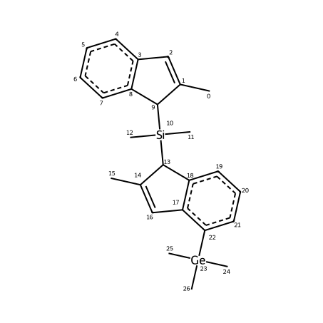 CC1=Cc2ccccc2C1[Si](C)(C)C1C(C)=Cc2c1ccc[c]2[Ge]([CH3])([CH3])[CH3]